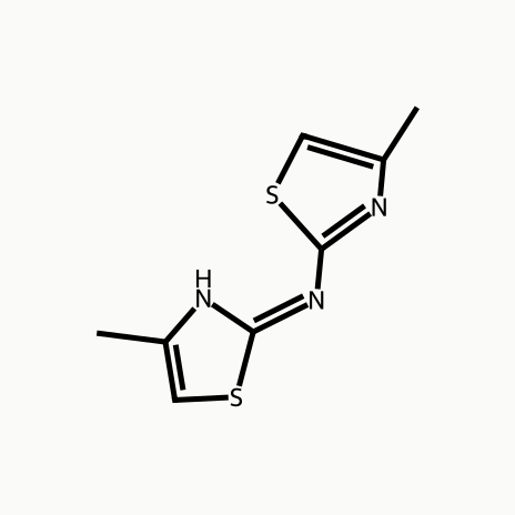 Cc1csc(/N=c2\[nH]c(C)cs2)n1